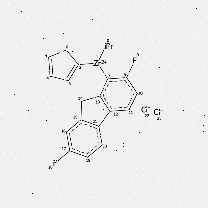 C[CH](C)[Zr+2]([C]1=CC=CC1)[c]1c(F)ccc2c1Cc1cc(F)ccc1-2.[Cl-].[Cl-]